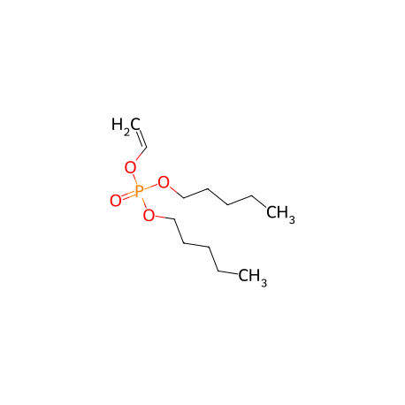 C=COP(=O)(OCCCCC)OCCCCC